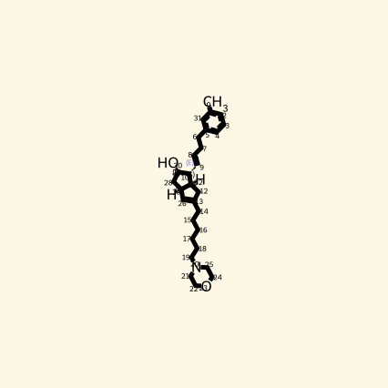 Cc1cccc(CC/C=C/[C@@H]2[C@H]3CC(CCCCCCN4CCOCC4)=C[C@H]3C[C@H]2O)c1